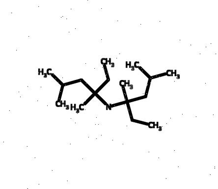 CCC(C)(CC(C)C)[N]C(C)(CC)CC(C)C